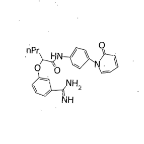 CCCC(Oc1cccc(C(=N)N)c1)C(=O)Nc1ccc(-n2ccccc2=O)cc1